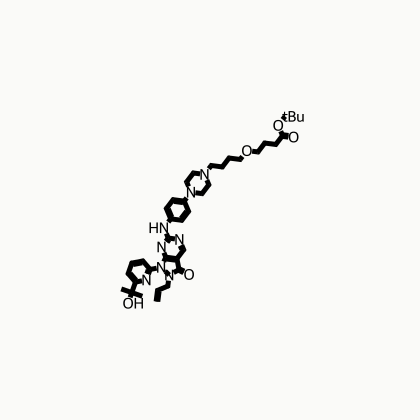 C=CCn1c(=O)c2cnc(Nc3ccc(N4CCN(CCCCOCCCC(=O)OC(C)(C)C)CC4)cc3)nc2n1-c1cccc(C(C)(C)O)n1